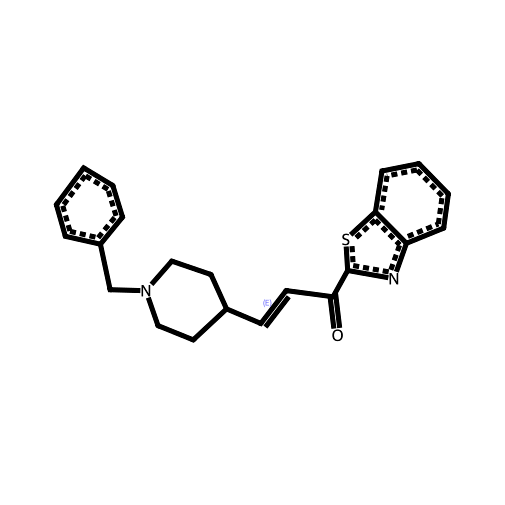 O=C(/C=C/C1CCN(Cc2ccccc2)CC1)c1nc2ccccc2s1